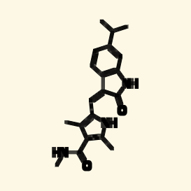 CNC(=O)c1c(C)[nH]c(/C=C2\C(=O)Nc3cc(C(C)C)ccc32)c1C